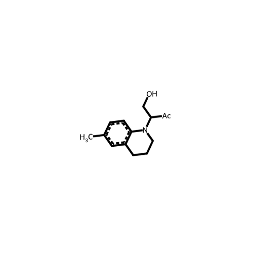 CC(=O)C(CO)N1CCCc2cc(C)ccc21